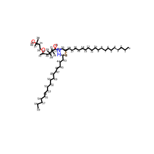 CCCCCCCCCCCCCCCCCCCC(CNC(=O)C(C)(C)C(C)(C)CC(C)OCCC(C)(C)OC)SCCCCCCCCCCCCCCCCCC